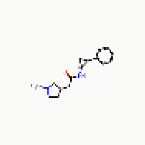 CN1CCC(CC(=O)N[C@H]2CC2c2ccccc2)C1